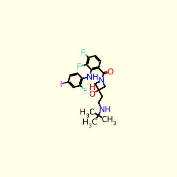 CC(C)(C)NCCC1(O)CN(C(=O)c2ccc(F)c(F)c2Nc2ccc(I)cc2F)C1